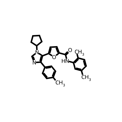 Cc1ccc(-c2ncn(C3CCCC3)c2-c2ccc(C(=O)Nc3cc(C)ccc3C)o2)cc1